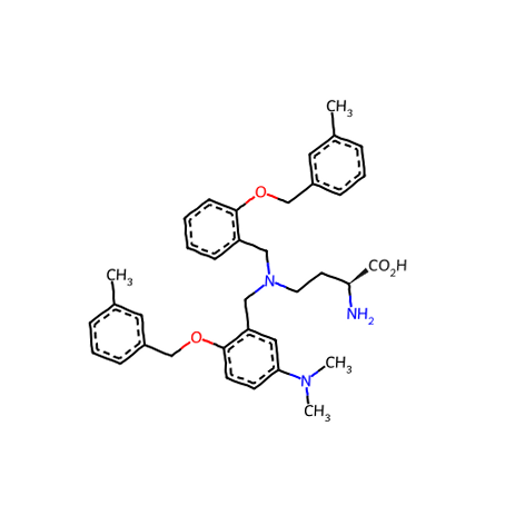 Cc1cccc(COc2ccccc2CN(CC[C@H](N)C(=O)O)Cc2cc(N(C)C)ccc2OCc2cccc(C)c2)c1